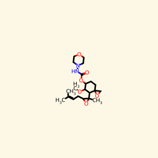 COC1C(OC(=O)NN2CCOCC2)CCC2(CO2)C1C1(C)OC1CC=C(C)C